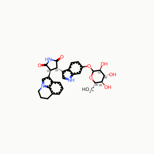 O=C1NC(=O)[C@H](c2cn3c4c(cccc24)CCC3)[C@H]1c1c[nH]c2cc(OC3O[C@@H](C(=O)O)[C@H](O)[C@@H](O)[C@@H]3O)ccc12